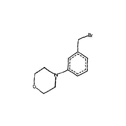 BrCc1cccc(N2CCOCC2)c1